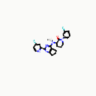 CN(c1nc(-c2cc(F)ccn2)nc2c1CCC2)C1CCCN(c2cccc(F)c2)C1=O